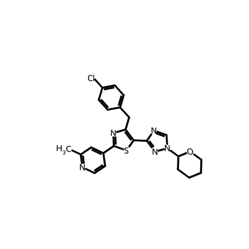 Cc1cc(-c2nc(Cc3ccc(Cl)cc3)c(-c3ncn(C4CCCCO4)n3)s2)ccn1